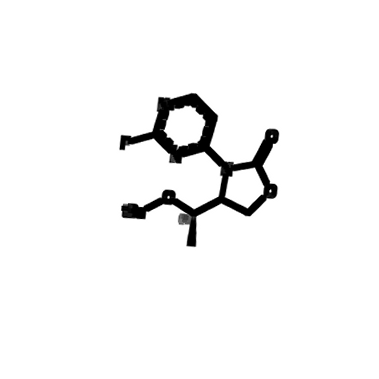 C[C@@H](OC(C)(C)C)C1COC(=O)N1c1ccnc(F)n1